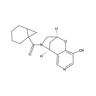 N#Cc1cncc2c1O[C@H]1C[C@@H]2N(C(=O)C23CCCCC2C3)C1